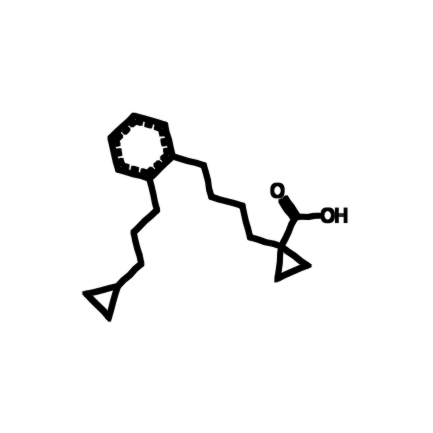 O=C(O)C1(CCCCc2ccccc2CCCC2CC2)CC1